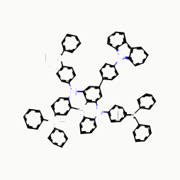 c1ccc([SiH2]c2ccc(N3c4ccc([SiH](c5ccccc5)c5ccccc5)cc4B4c5ccccc5N(c5ccc([SiH](c6ccccc6)c6ccccc6)cc5)c5cc(-c6ccc(-n7c8ccccc8c8ccccc87)cc6)cc3c54)cc2)cc1